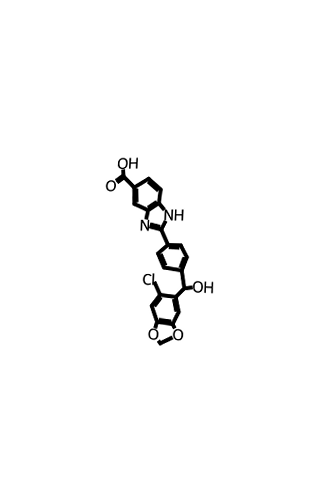 O=C(O)c1ccc2[nH]c(-c3ccc(C(O)c4cc5c(cc4Cl)OCO5)cc3)nc2c1